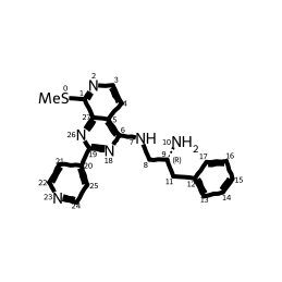 CSc1nccc2c(NC[C@H](N)Cc3ccccc3)nc(-c3ccncc3)nc12